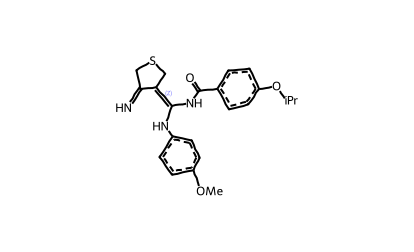 COc1ccc(N/C(NC(=O)c2ccc(OC(C)C)cc2)=C2/CSCC2=N)cc1